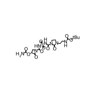 CC(C)(C)OC(=O)NCCN1CCN(C(=O)NS(=O)(=O)NC(=O)N2C[C@H](OC(N)=O)C2=O)C1=O